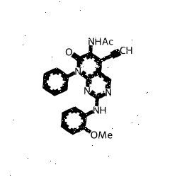 C#Cc1c(NC(C)=O)c(=O)n(-c2ccccc2)c2nc(Nc3ccccc3OC)ncc12